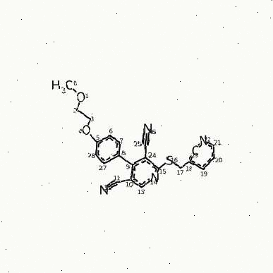 COCCOc1ccc(-c2c(C#N)cnc(SCc3cccnc3)c2C#N)cc1